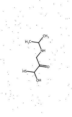 CC(C)NCC(=O)C(O)S